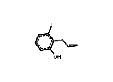 C=CCc1c(O)cccc1I